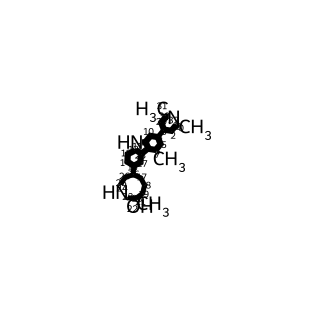 Cc1cc(-c2cc(C)c3c(c2)[nH]c2ccc(C4CCCC(C)(O)CNCC4)cc23)cc(C)n1